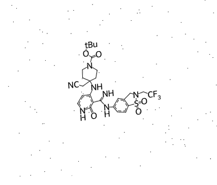 CC(C)(C)OC(=O)N1CCC(CC#N)(Nc2cc[nH]c(=O)c2C(=N)Nc2ccc3c(c2)CN(CC(F)(F)F)S3(=O)=O)CC1